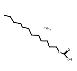 CCCCCCCCCCCCOC(=O)O.[CaH2]